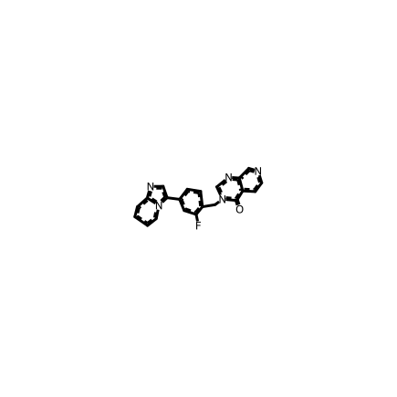 O=c1c2ccncc2ncn1Cc1ccc(-c2cnc3ccccn23)cc1F